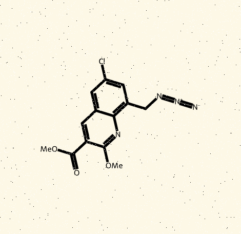 COC(=O)c1cc2cc(Cl)cc(CN=[N+]=[N-])c2nc1OC